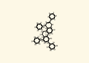 C1=C(c2ccccc2)Cc2ccc3c(c2C1c1ccccc1)CCc1c(-c2ccccc2)cc(-c2ccccc2)cc1-3